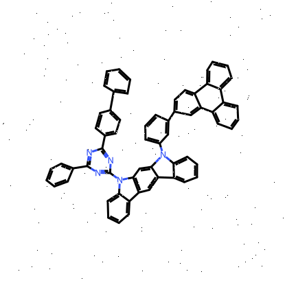 c1ccc(-c2ccc(-c3nc(-c4ccccc4)nc(-n4c5ccccc5c5cc6c7ccccc7n(-c7cccc(-c8ccc9c%10ccccc%10c%10ccccc%10c9c8)c7)c6cc54)n3)cc2)cc1